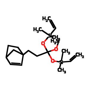 C=C[Si](C)(C)OC(CCC12C=CC(CC1)C2)(O[SiH3])O[Si](C)(C)C=C